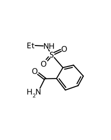 CCNS(=O)(=O)c1ccccc1C(N)=O